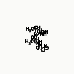 CC(C)CCN(CC(=O)NO)C(=O)C[C@H](C)CNC(=O)Nc1cccc2cccnc12